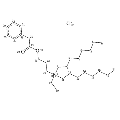 CCCCCCCC[N+](CC)(CCCCCCCC)CCCOC(=O)Cc1ccccc1.[Cl-]